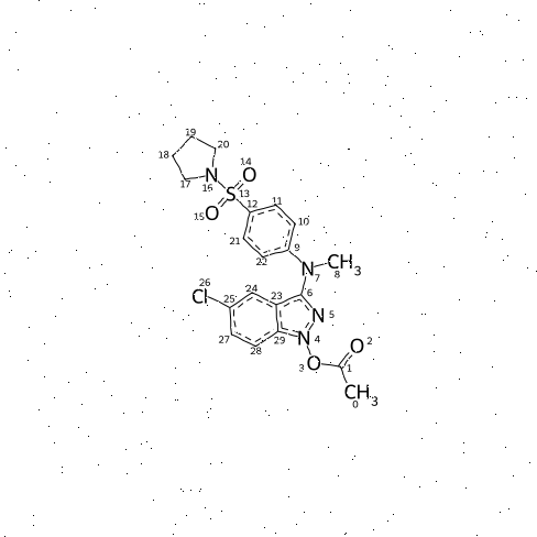 CC(=O)On1nc(N(C)c2ccc(S(=O)(=O)N3CCCC3)cc2)c2cc(Cl)ccc21